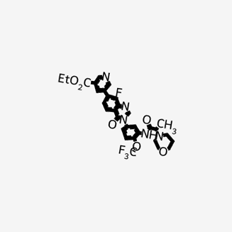 CCOC(=O)c1cncc(-c2ccc3c(=O)n(-c4ccc(OC(F)(F)F)c(NC(=O)C(C)N5CCCOCC5)c4)cnc3c2F)c1